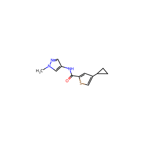 Cn1cc(NC(=O)c2cc(C3CC3)cs2)cn1